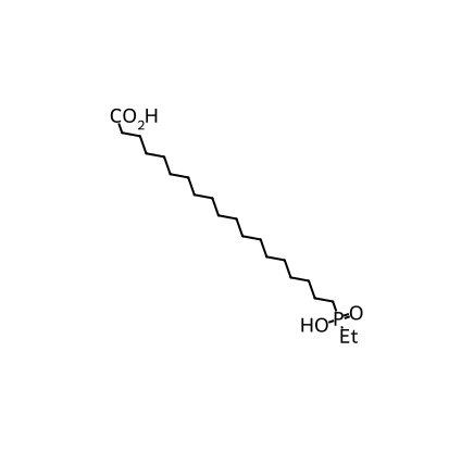 CCP(=O)(O)CCCCCCCCCCCCCCCCCCC(=O)O